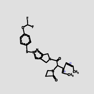 C/C=C\C(=C/C)C(C(=O)N1Cc2cn(Sc3ccc(OC(F)F)cc3)nc2C1)N1CCC1=O